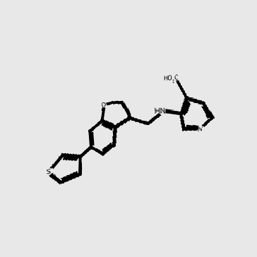 O=C(O)c1ccncc1NCC1COc2cc(-c3ccsc3)ccc21